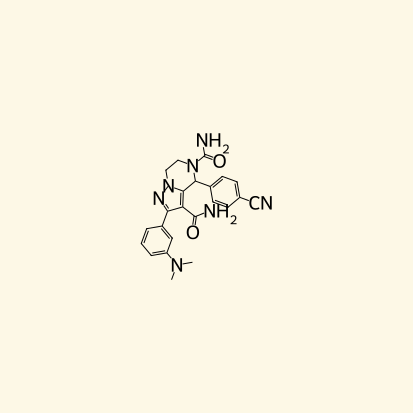 CN(C)c1cccc(-c2nn3c(c2C(N)=O)C(c2ccc(C#N)cc2)N(C(N)=O)CC3)c1